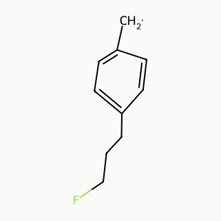 [CH2]c1ccc(CCCF)cc1